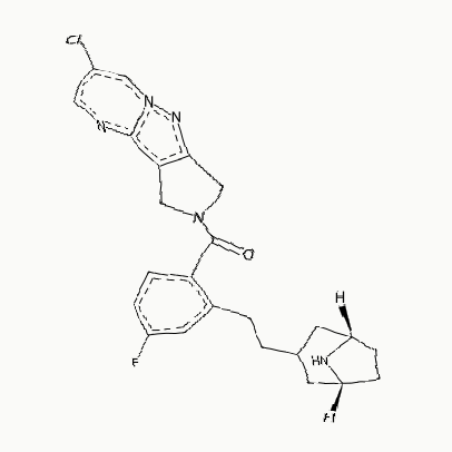 O=C(c1ccc(F)cc1CCC1C[C@H]2CC[C@@H](C1)N2)N1Cc2nn3cc(Cl)cnc3c2C1